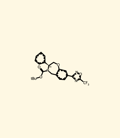 CC(C)(C)OC(=O)N1Cc2ccc(-c3noc(C(F)(F)F)n3)cc2OC[C@@H]1c1ccccc1